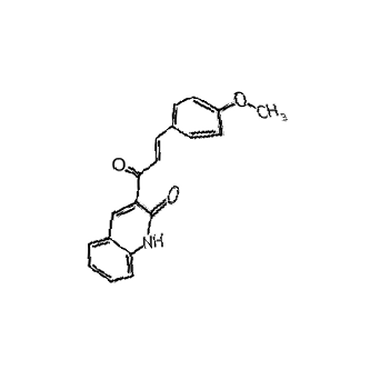 COc1ccc(C=CC(=O)c2cc3ccccc3[nH]c2=O)cc1